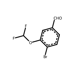 O=Cc1ccc(Br)c(OC(F)F)c1